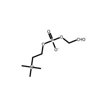 C[N+](C)(C)CCOP(=O)([O-])OCC=O